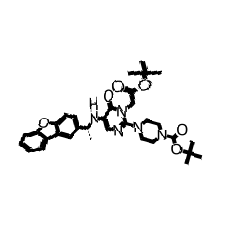 C[C@@H](Nc1cnc(N2CCN(C(=O)OC(C)(C)C)CC2)n(CC(=O)OC(C)(C)C)c1=O)c1ccc2oc3ccccc3c2c1